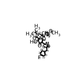 COC1CN(C(=O)[C@@]2(C)CN(C(C)C)C(=O)c3c(O)c(=O)c(-c4nnc(Cc5ccc(F)cc5)s4)cn32)C1